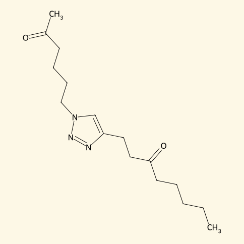 CCCCCC(=O)CCc1cn(CCCCC(C)=O)nn1